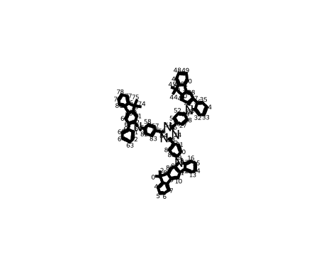 CC1(C)c2ccccc2-c2cc3c4ccccc4n(-c4ccc(-c5nc(-c6ccc(-n7c8ccccc8c8cc9c(cc87)C(C)(C)c7ccccc7-9)cc6)nc(-c6ccc(-n7c8ccccc8c8cc9c(cc87)C(C)(C)c7ccccc7-9)cc6)n5)cc4)c3cc21